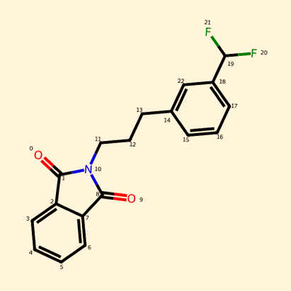 O=C1c2ccccc2C(=O)N1CCCc1cccc(C(F)F)c1